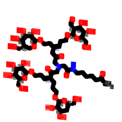 CC(=O)CCCCCNC(=O)CN(CC(=O)C/C(=C/CCO[C@H]1O[C@H](CO)[C@@H](O)[C@H](O)[C@@H]1C=O)CCO[C@H]1OC[C@H](CO)[C@@H](O)[C@H](O)[C@@H]1O)CC(=O)/C(=C\CCO[C@H]1O[C@H](CO)[C@@H](O)[C@H](O)[C@@H]1O)CCCO[C@H]1O[C@H](CO)C[C@H](O)[C@@H]1O